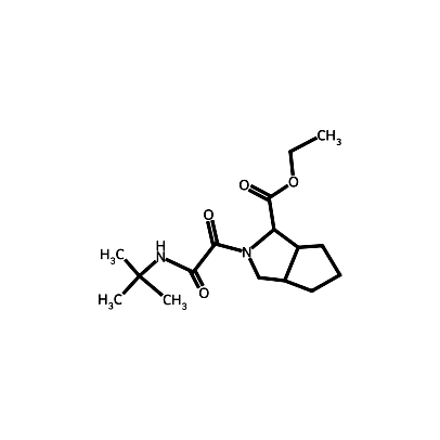 CCOC(=O)C1C2CCCC2CN1C(=O)C(=O)NC(C)(C)C